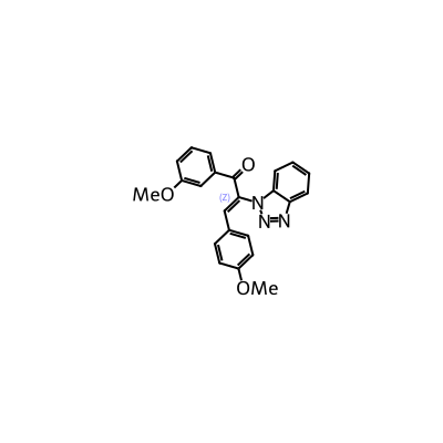 COc1ccc(/C=C(/C(=O)c2cccc(OC)c2)n2nnc3ccccc32)cc1